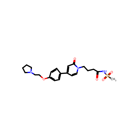 CS(=O)(=O)NC(=O)CCCn1ccc(-c2ccc(OCCN3CCCC3)cc2)cc1=O